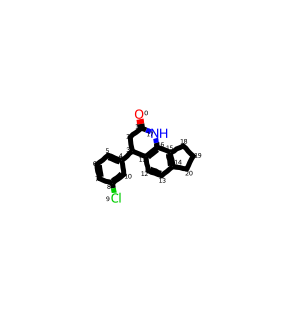 O=C1CC(c2cccc(Cl)c2)c2ccc3c(c2N1)CCC3